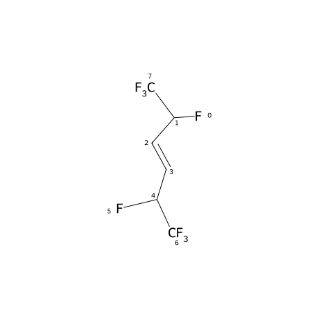 FC(C=CC(F)C(F)(F)F)C(F)(F)F